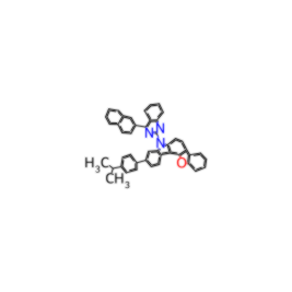 CC(C)c1ccc(-c2ccc3c4c5oc6ccccc6c5ccc4n(-c4nc(-c5ccc6ccccc6c5)c5ccccc5n4)c3c2)cc1